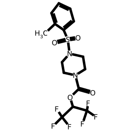 Cc1ccccc1S(=O)(=O)N1CCN(C(=O)OC(C(F)(F)F)C(F)(F)F)CC1